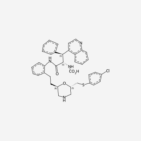 O=C(O)N[C@H](C(=O)Nc1ccccc1CC[C@@H]1CNC[C@@H](CSc2ccc(Cl)cc2)O1)[C@@H](c1ccccc1)c1ccnc2ccccc12